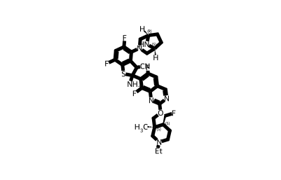 CCN1CC[C@H](CF)[C@](C)(COc2ncc3cc(F)c(C4(N)Sc5c(F)cc(F)c(N6C[C@H]7CC[C@@H](C6)N7)c5C4C#N)c(F)c3n2)C1